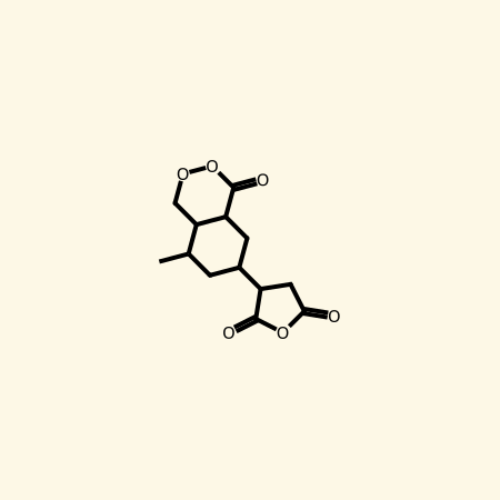 CC1CC(C2CC(=O)OC2=O)CC2C(=O)OOCC12